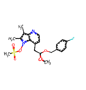 COC(Cc1ccnc2c(C)c(C)n(OS(C)(=O)=O)c12)OCc1ccc(F)cc1